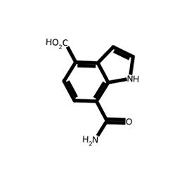 NC(=O)c1ccc(C(=O)O)c2cc[nH]c12